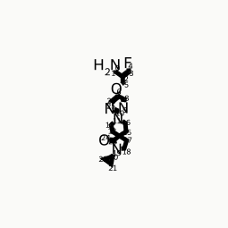 NC/C(=C\F)COc1cnc(N2CCC3(CC2)CCN(C2CC2)C3=O)nc1